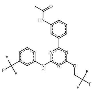 CC(=O)Nc1cccc(-c2nc(Nc3cccc(C(F)(F)F)c3)nc(OCC(F)(F)F)n2)c1